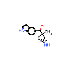 COCC(C)(CC=N)C(=O)c1ccc2[nH]ccc2c1